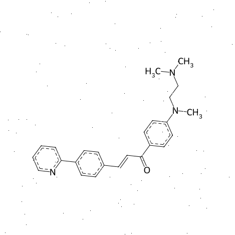 CN(C)CCN(C)c1ccc(C(=O)C=Cc2ccc(-c3ccccn3)cc2)cc1